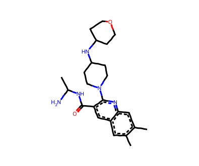 Cc1cc2cc(C(=O)NC(C)N)c(N3CCC(NC4CCOCC4)CC3)nc2cc1C